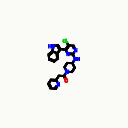 O=C(Cc1ccccn1)N1CCC(Nc2ncc(Cl)c(-c3c[nH]c4ccccc34)n2)CC1